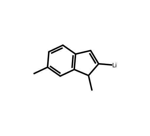 [Li][C]1=Cc2ccc(C)cc2C1C